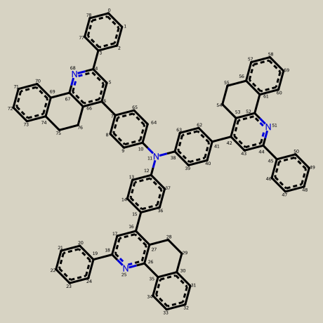 c1ccc(-c2cc(-c3ccc(N(c4ccc(-c5cc(-c6ccccc6)nc6c5CCc5ccccc5-6)cc4)c4ccc(-c5cc(-c6ccccc6)nc6c5CCc5ccccc5-6)cc4)cc3)c3c(n2)-c2ccccc2CC3)cc1